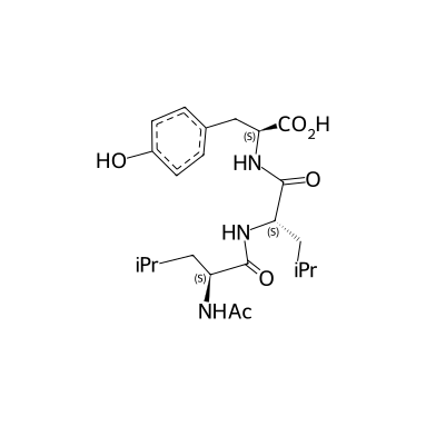 CC(=O)N[C@@H](CC(C)C)C(=O)N[C@@H](CC(C)C)C(=O)N[C@@H](Cc1ccc(O)cc1)C(=O)O